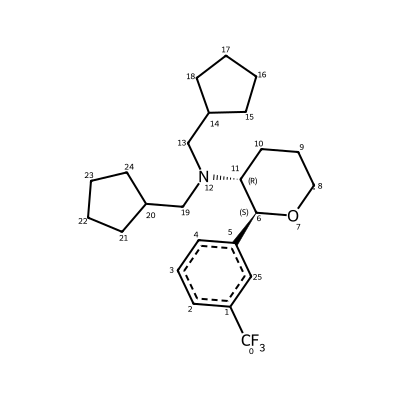 FC(F)(F)c1cccc([C@@H]2O[CH]CC[C@H]2N(CC2CCCC2)CC2CCCC2)c1